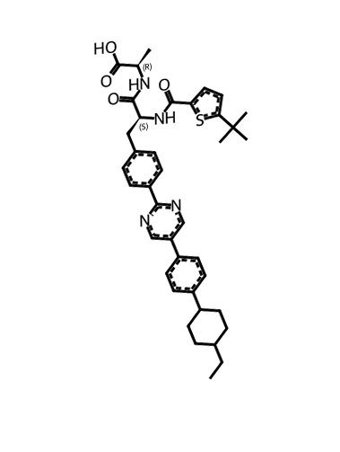 CCC1CCC(c2ccc(-c3cnc(-c4ccc(C[C@H](NC(=O)c5ccc(C(C)(C)C)s5)C(=O)N[C@H](C)C(=O)O)cc4)nc3)cc2)CC1